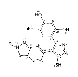 CC(C)c1cc(-c2nnc(S)n2C2=CC3=NN(C)CC3C=C2)c(O)cc1O